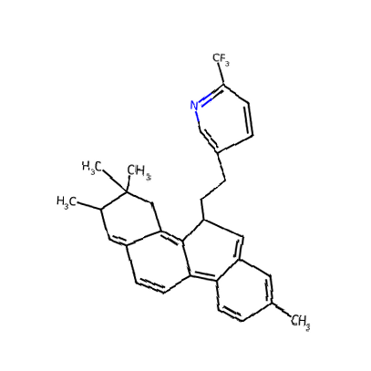 Cc1ccc2c(c1)=CC(CCc1ccc(C(F)(F)F)nc1)c1c3c(ccc1=2)=CC(C)C(C)(C)C3